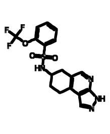 O=S(=O)(NC1CCc2c(cnc3[nH]ncc23)C1)c1ccccc1OC(F)(F)F